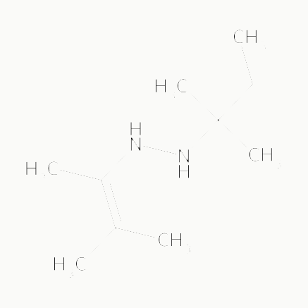 CCC(C)(C)NNC(C)=C(C)C